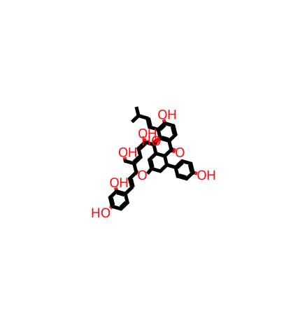 C=C(/C(O)=C\C=C(/CO)C(=O)/C=C/c1ccc(O)cc1O)C1C=C(C)CC(c2ccc(O)cc2)C1C(=O)c1ccc(O)c(/C=C/C(C)C)c1O